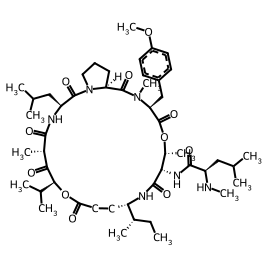 CC[C@H](C)[C@@H]1CCC(=O)O[C@@H](C(C)C)C(=O)[C@H](C)C(=O)N[C@@H](CC(C)C)C(=O)N2CCC[C@H]2C(=O)N(C)[C@@H](Cc2ccc(OC)cc2)C(=O)O[C@H](C)[C@H](NC(=O)[C@@H](CC(C)C)NC)C(=O)N1